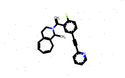 C=C(c1cc(C#Cc2ccccn2)ccc1F)N1CCC2=C(CC=CC=C2)C1C